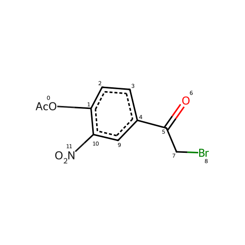 CC(=O)Oc1ccc(C(=O)CBr)cc1[N+](=O)[O-]